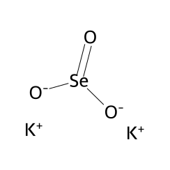 O=[Se]([O-])[O-].[K+].[K+]